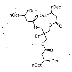 CCCCCCCCCCC(CCCCCCCC)CC(=O)OCC(CC)(COC(=O)CC(CCCCCCCC)CCCCCCCCCC)COC(=O)CC(CCCCCCCC)CCCCCCCCCC